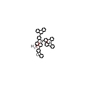 CC1CC(N(c2ccc(-c3ccccc3-n3c4ccccc4c4ccccc43)cc2)c2cc(-c3cc4ccccc4c4ccccc34)ccc2-c2ccccc2)=CC=C1c1ccc2oc3ccccc3c2c1